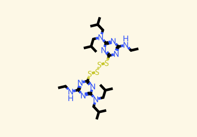 CCNc1nc(SSSSc2nc(NCC)nc(N(CC(C)C)CC(C)C)n2)nc(N(CC(C)C)CC(C)C)n1